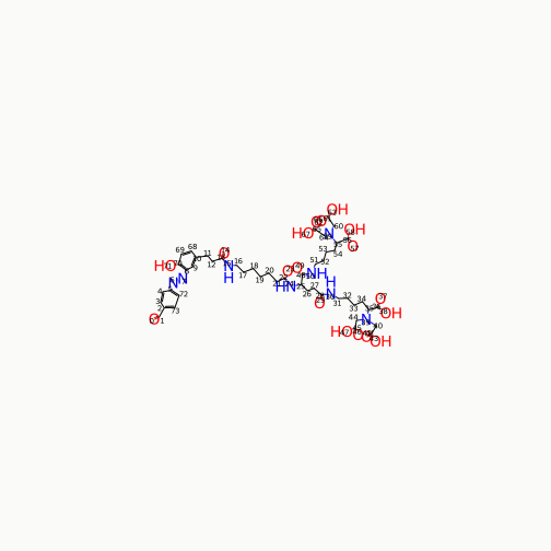 O=Cc1ccc(/N=N/c2cc(CCC(=O)NCCCCCCC(=O)NC(CCC(=O)NCCCCC(C(=O)O)N(CC(=O)O)CC(=O)O)C(=O)NCCCCC(C(=O)O)N(CC(=O)O)CC(=O)O)ccc2O)cc1